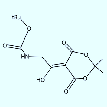 CC(C)(C)OC(=O)NCC(O)=C1C(=O)OC(C)(C)OC1=O